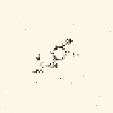 CCCC(C#N)Nc1ccc(O)c(F)c1